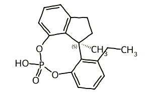 CCc1cccc2c1[C@]1(C)CCc3cccc(c31)OP(=O)(O)O2